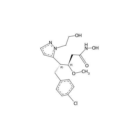 CO[C@H](CC(=O)NO)[C@H](Cc1ccc(Cl)cc1)c1ccnn1CCO